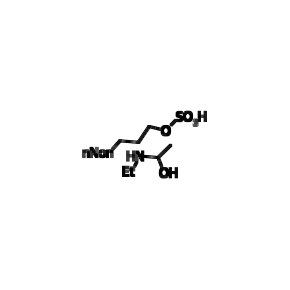 CCCCCCCCCCCCOS(=O)(=O)O.CCNC(C)O